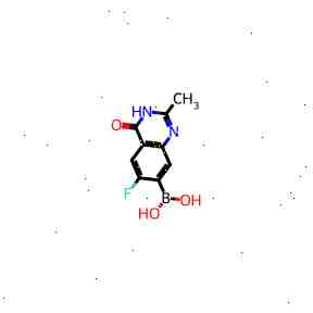 Cc1nc2cc(B(O)O)c(F)cc2c(=O)[nH]1